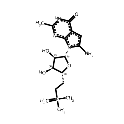 C=P(C)(C)CC[C@H]1O[C@@H](n2c(N)cc3c(=O)[nH]c(C)nc32)[C@H](O)[C@@H]1O